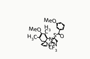 COC1=C(C)CC23C=CC=C[N+]2(C(F)(F)F)c2ncc(SC(=O)c4cccc(OC)c4)n2C3=C1C